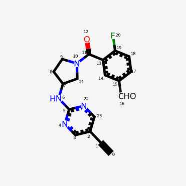 C#Cc1cnc(NC2CCN(C(=O)c3cc(C=O)ccc3F)C2)nc1